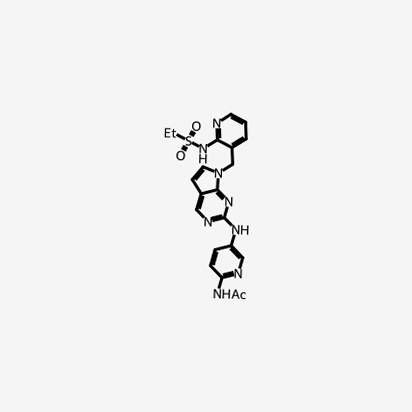 CCS(=O)(=O)Nc1ncccc1Cn1ccc2cnc(Nc3ccc(NC(C)=O)nc3)nc21